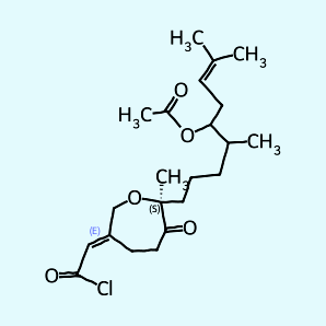 CC(=O)OC(CC=C(C)C)C(C)CCC[C@]1(C)OC/C(=C/C(=O)Cl)CCC1=O